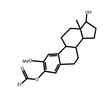 CCC(=O)Oc1cc2c(cc1OC)C1CCC3(C)C(O)CCC3C1CC2